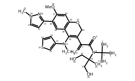 BC(B)(B)N(C(=O)C(=C)C1=C(N(C)c2ccsc2)c2cc(-c3ccn(C)n3)c(OC)cc2OC1)C(C)(CO)CO